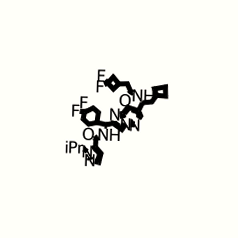 CC(C)n1nccc1C(=O)N[C@H](c1cn2ncc(C(CC3CCC3)NC(=O)CC3CC(F)(F)C3)cc2n1)C1CCC(F)(F)CC1